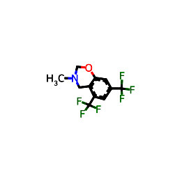 CN1COc2cc(C(F)(F)F)cc(C(F)(F)F)c2C1